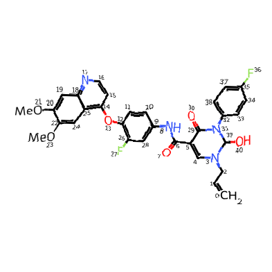 C=CCN1C=C(C(=O)Nc2ccc(Oc3ccnc4cc(OC)c(OC)cc34)c(F)c2)C(=O)N(c2ccc(F)cc2)C1O